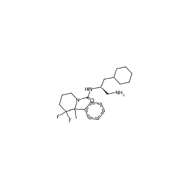 CC1(c2ccccc2)N(C(=O)N[C@H](CN)CC2CCCCC2)CCCC1(F)F